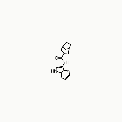 O=C(Nc1c[nH]c2ccccc12)C1CC2CCC(C2)C1